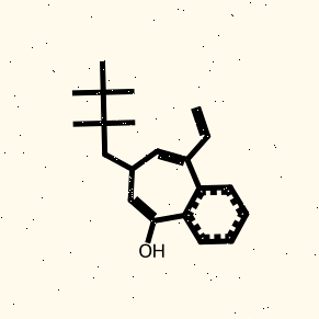 C=CC1=CC(CC(C)(C)C(C)(C)C)C=C(O)c2ccccc21